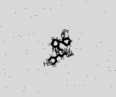 CC(C)Oc1ccccc1-c1cccc2nn3c(C4CCNCC4)cc(=O)[nH]c3c12.Cl